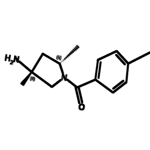 Cc1ccc(C(=O)N2C[C@](C)(N)C[C@@H]2C)cc1